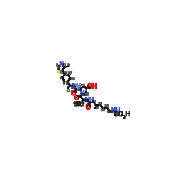 Cc1ncsc1-c1ccc([C@H](C)NC(=O)[C@@H]2C[C@@H](O)CN2C(=O)[C@@H](NC(=O)CCCCCCNC(=O)O)C(C)(C)C)cc1